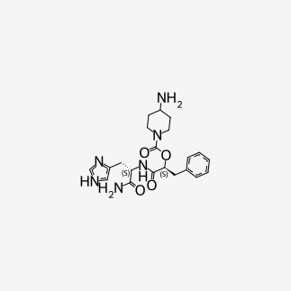 NC(=O)[C@H](Cc1c[nH]cn1)NC(=O)[C@H](Cc1ccccc1)OC(=O)N1CCC(N)CC1